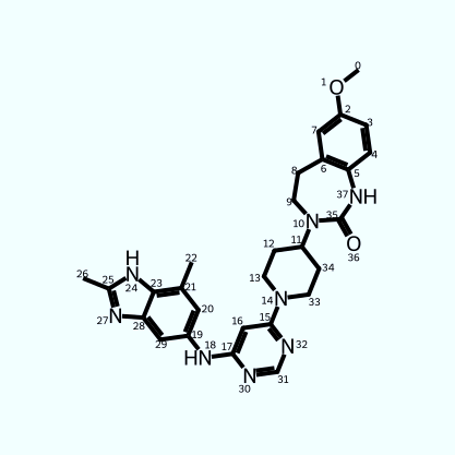 COc1ccc2c(c1)CCN(C1CCN(c3cc(Nc4cc(C)c5[nH]c(C)nc5c4)ncn3)CC1)C(=O)N2